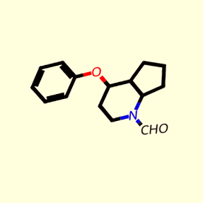 O=CN1CCC(Oc2ccccc2)C2CCCC21